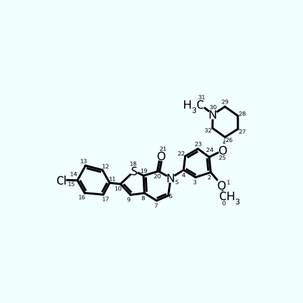 COc1cc(-n2ccc3cc(-c4ccc(Cl)cc4)sc3c2=O)ccc1O[C@H]1CCCN(C)C1